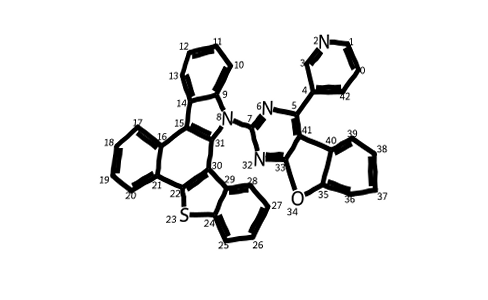 c1cncc(-c2nc(-n3c4ccccc4c4c5ccccc5c5sc6ccccc6c5c43)nc3oc4ccccc4c23)c1